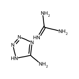 N=C(N)N.Nc1nnn[nH]1